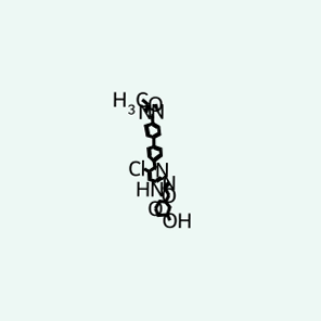 Cc1nc(-c2ccc(-c3ccc(-c4nc5nc(OC6COCC(O)C6)[nH]c5cc4Cl)cc3)cc2)no1